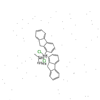 CCCCCC[SiH](C)[Hf]([Cl])([Cl])([c]1cccc2c1Cc1ccccc1-2)[c]1cccc2c1Cc1ccccc1-2